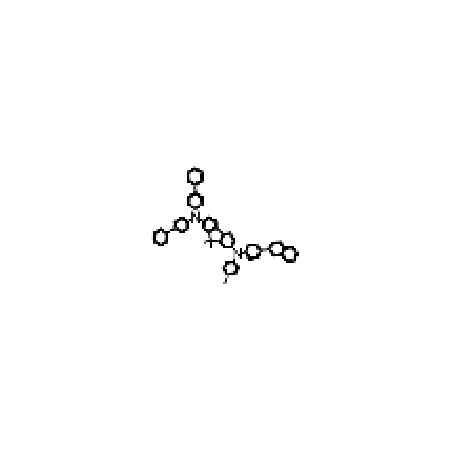 Cc1ccc(N(c2ccc(-c3ccc4ccccc4c3)cc2)c2ccc3c(c2)C(C)(C)c2cc(N(c4ccc(-c5ccccc5)cc4)c4ccc(-c5ccccc5)cc4)ccc2-3)cc1